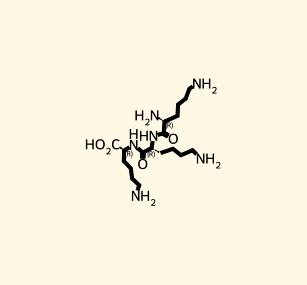 NCCCC[C@@H](N)C(=O)N[C@H](CCCCN)C(=O)N[C@H](CCCCN)C(=O)O